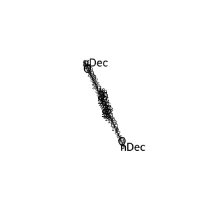 CCCCCCCCCCCCOCCCCCCCCCCCCc1ccc2sc3c4cc5cc6sc7c8cc(CCCCCCCCCCCCOCCCCCCCCCCCC)ccc8sc7c6cc5cc4sc3c2c1